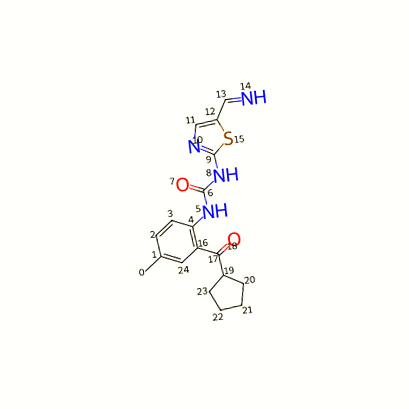 Cc1ccc(NC(=O)Nc2ncc(C=N)s2)c(C(=O)C2CCCC2)c1